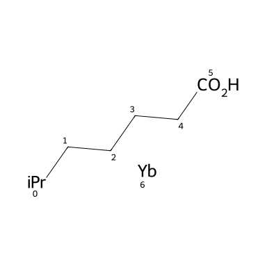 CC(C)CCCCC(=O)O.[Yb]